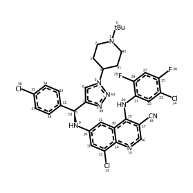 CC(C)(C)N1CCC(n2cc([C@@H](Nc3cc(Cl)c4ncc(C#N)c(Nc5cc(Cl)c(F)cc5F)c4c3)c3ccc(Cl)cc3)nn2)CC1